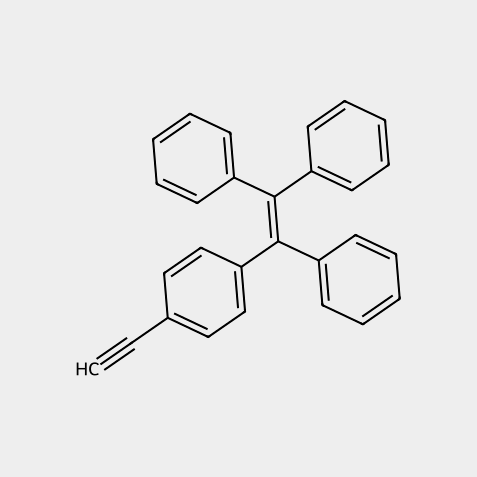 C#Cc1ccc(C(=C(c2ccccc2)c2ccccc2)c2ccccc2)cc1